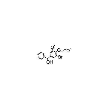 COCCOc1c(Br)cc(C(O)c2ccccc2)cc1OC